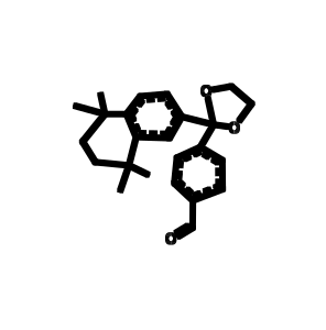 CC1(C)CCC(C)(C)c2cc(C3(c4ccc(C=O)cc4)OCCO3)ccc21